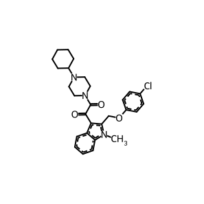 Cn1c(COc2ccc(Cl)cc2)c(C(=O)C(=O)N2CCN(C3CCCCC3)CC2)c2ccccc21